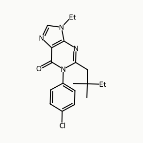 CCn1cnc2c(=O)n(-c3ccc(Cl)cc3)c(CC(C)(C)CC)nc21